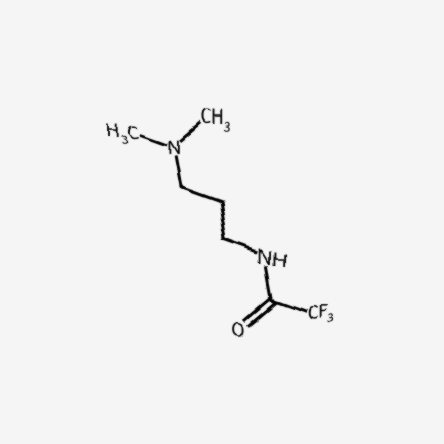 CN(C)CCCNC(=O)C(F)(F)F